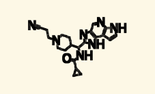 N#CCCN1CCC(C(NC(=O)C2CC2)c2nc3cnc4[nH]ccc4c3[nH]2)CC1